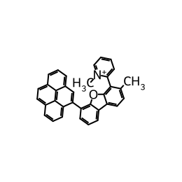 Cc1ccc2c(oc3c(-c4cc5cccc6ccc7cccc4c7c65)cccc32)c1-c1cccc[n+]1C